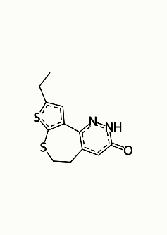 CCc1cc2c(s1)SCCc1cc(=O)[nH]nc1-2